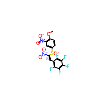 COc1ccc([S+]([O-])/C(=C\c2c(F)c(F)c(F)c(F)c2F)[N+](=O)[O-])cc1[N+](=O)[O-]